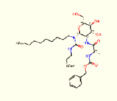 CCCCCCCCCCCCCCCCCCN(C(=O)NCCCCCCCCCCCC)[C@@H]1O[C@H](CO)[C@@H](O)[C@H](O)[C@H]1NC(=O)[C@H](C)NC(=O)OCc1ccccc1